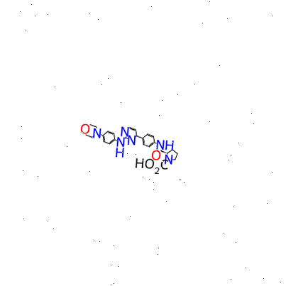 O=C(Nc1ccc(-c2ccnc(Nc3ccc(N4CCOCC4)cc3)n2)cc1)[C@H]1CCCN1C(=O)O